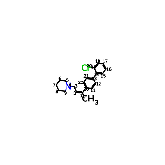 CC(=CCN1CCCCC1)c1ccc(-c2ccccc2Cl)cc1